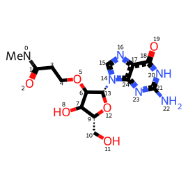 CNC(=O)CCOC1C(O)[C@@H](CO)O[C@H]1n1cnc2c(=O)[nH]c(N)nc21